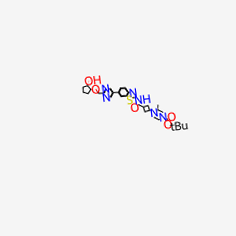 C[C@H]1CN(C(=O)OC(C)(C)C)CCN1C1CC(C(=O)Nc2nc3ccc(-c4cnc(CO[C@H]5CCC[C@@H]5O)nc4)cc3s2)C1